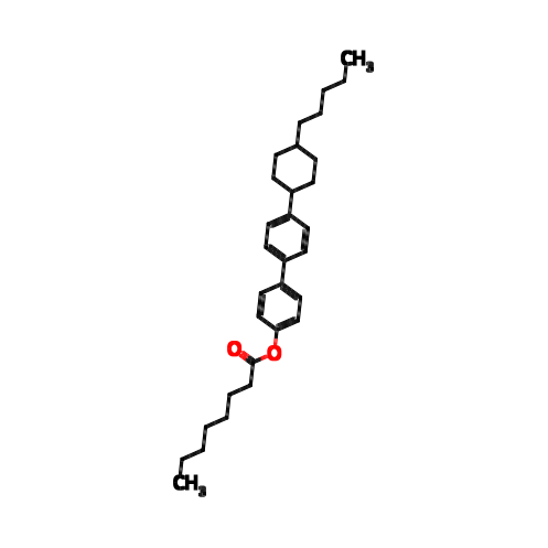 CCCCCCCC(=O)Oc1ccc(-c2ccc(C3CCC(CCCCC)CC3)cc2)cc1